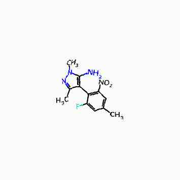 Cc1cc(F)c(-c2c(C)nn(C)c2N)c([N+](=O)[O-])c1